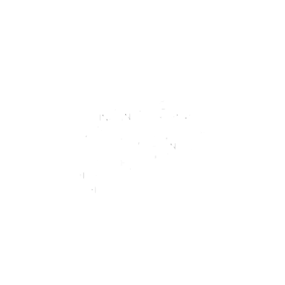 C=C(Nc1ccc(C(F)(F)F)c(F)c1)N1CCC(F)(c2ncccc2F)CC1